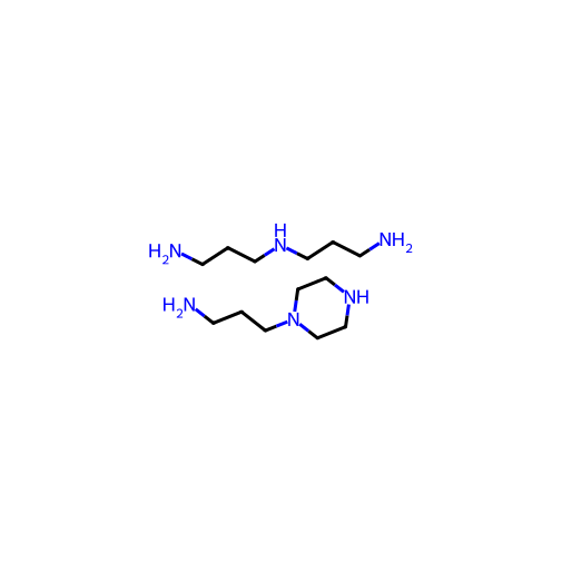 NCCCN1CCNCC1.NCCCNCCCN